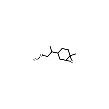 CCCOCC(C)C1CCC2(C)OC2C1